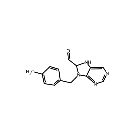 Cc1ccc(CN2c3ncncc3NC2C=O)cc1